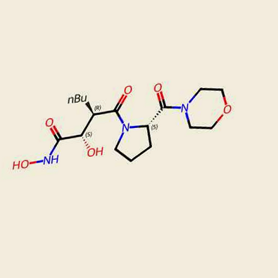 CCCC[C@@H](C(=O)N1CCC[C@H]1C(=O)N1CCOCC1)[C@H](O)C(=O)NO